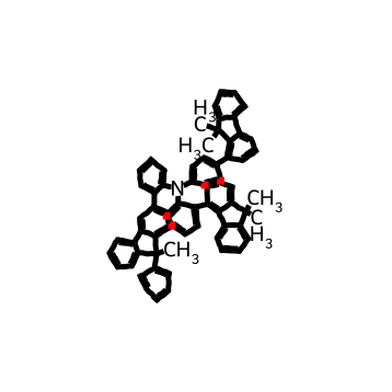 CC1(C)c2ccccc2-c2c(-c3ccccc3N(c3ccc(-c4cccc5c4C(C)(C)c4ccccc4-5)cc3)c3ccccc3-c3ccc4c(c3)-c3ccccc3C4(C)c3ccccc3)cccc21